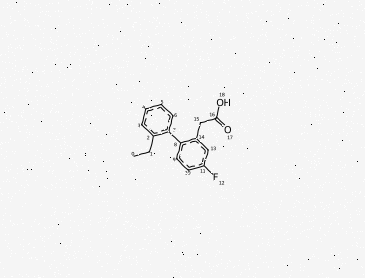 CCc1ccccc1-c1ccc(F)cc1CC(=O)O